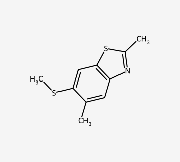 CSc1cc2sc(C)nc2cc1C